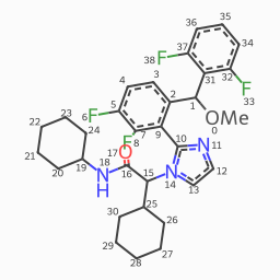 COC(c1ccc(F)c(F)c1-c1nccn1C(C(=O)NC1CCCCC1)C1CCCCC1)c1c(F)cccc1F